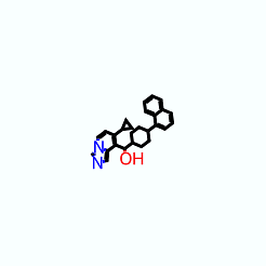 OC(c1c(C2CC2)ccn2cncc12)C1CCC(c2cccc3ccccc23)CC1